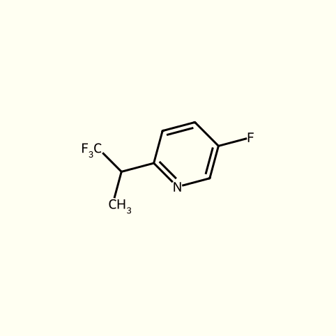 CC(c1ccc(F)cn1)C(F)(F)F